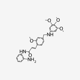 COc1cc(CNc2cc(OC)c(OC)c(OC)c2)ccc1C=CC(=O)Nc1ccccc1N